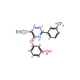 CCOC(=O)c1nnc(-c2cccc(C(F)(F)F)c2)nc1Oc1cccc(O)c1